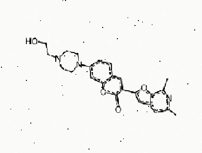 Cc1cc2cc(-c3cc4ccc(N5CCN(CCO)CC5)cc4oc3=O)oc2c(C)n1